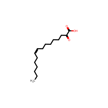 CCCCCC/C=C\CCCCCCC(=O)C(=O)O